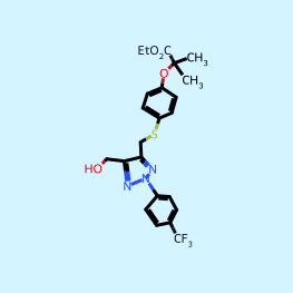 CCOC(=O)C(C)(C)Oc1ccc(SCc2nn(-c3ccc(C(F)(F)F)cc3)nc2CO)cc1